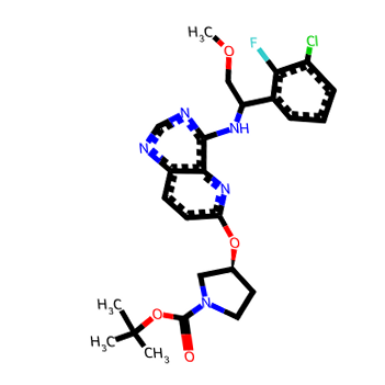 COCC(Nc1ncnc2ccc(O[C@H]3CCN(C(=O)OC(C)(C)C)C3)nc12)c1cccc(Cl)c1F